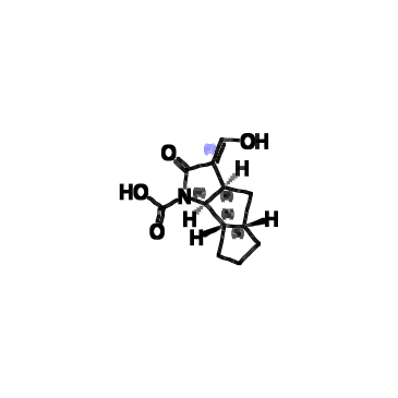 O=C(O)N1C(=O)/C(=C/O)[C@H]2C[C@@H]3CCC[C@@H]3[C@H]21